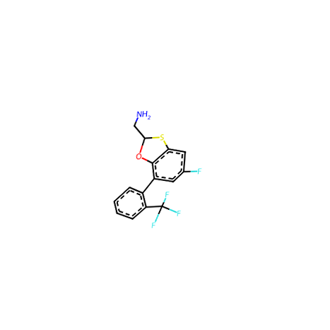 NCC1Oc2c(cc(F)cc2-c2ccccc2C(F)(F)F)S1